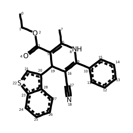 CCOC(=O)C1=C(C)NC(c2ccccc2)=C(C#N)C1c1csc2ccccc12